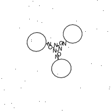 C1CCCCCCCCC(=NOc2nc(ON=C3CCCCCCCCCCCCCCCCC3)nc(ON=C3CCCCCCCCCCCCCCCCC3)n2)CCCCCCCC1